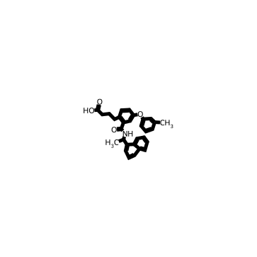 Cc1cccc(Oc2ccc(CCCC(=O)O)c(C(=O)NC(C)c3cccc4ccccc34)c2)c1